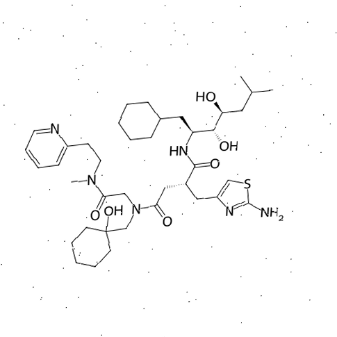 CC(C)C[C@H](O)[C@H](O)[C@H](CC1CCCCC1)NC(=O)[C@@H](CC(=O)N(CC(=O)N(C)CCc1ccccn1)CC1(O)CCCCC1)Cc1csc(N)n1